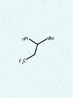 CCCCC(CCC)CC(F)(F)F